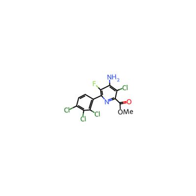 COC(=O)c1nc(-c2ccc(Cl)c(Cl)c2Cl)c(F)c(N)c1Cl